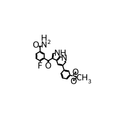 CS(=O)(=O)c1cccc(-c2cnc3[nH]cc(C(=O)c4cc(C(N)=O)ccc4F)c3c2)c1